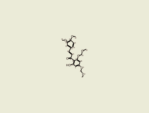 COCOc1cc(O)c(C(=O)C=Cc2ccc(OC)c(OC)c2)c(OCOC)c1